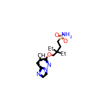 CCC(CC)(CCS(N)(=O)=O)COc1nn2ccnc2cc1C